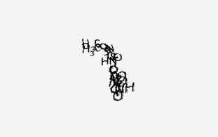 CC1(C)CCc2nc(COC(=O)NCc3ccc4c(c3)C(=O)N(C3CCC(=O)NC3=O)C4)sc2C1